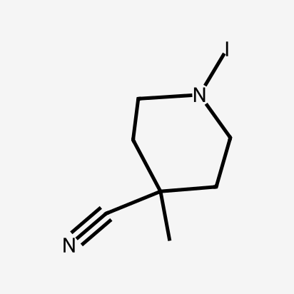 CC1(C#N)CCN(I)CC1